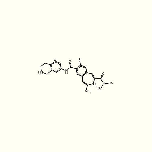 CCCN(CCC)C(=O)C1=Cc2cc(F)c(C(=O)Nc3cnc4c(c3)CNCC4)cc2C=C(N)N1